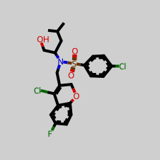 CC(C)CC(CO)N(CC1=C(Cl)c2cc(F)ccc2OC1)S(=O)(=O)c1ccc(Cl)cc1